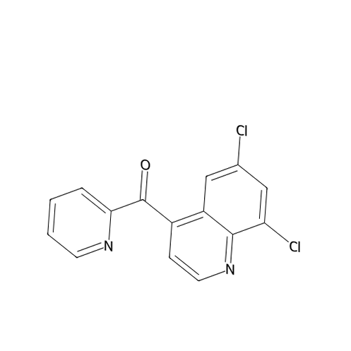 O=C(c1ccccn1)c1ccnc2c(Cl)cc(Cl)cc12